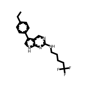 CCc1ccc(-c2c[nH]c3nc(NCCCCC(F)(F)F)ncc23)cc1